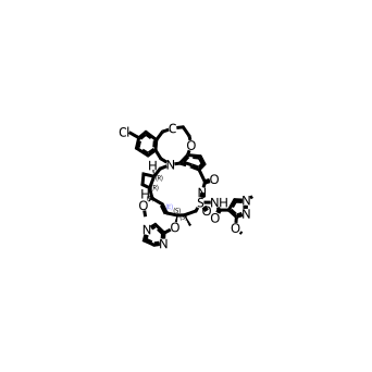 COc1nn(C)cc1C(=O)NS1(=O)=NC(=O)c2ccc3c(c2)N(Cc2ccc(Cl)cc2CCCCO3)C[C@@H]2CC[C@H]2[C@@H](OC)/C=C/[C@H](Oc2cnccn2)[C@H](C)C1